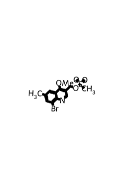 COc1c(COS(C)(=O)=O)cnc2c(Br)cc(C)cc12